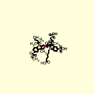 COS(=O)(=O)c1ccc2c(c1)C(C)(CCCS(=O)(=O)O)/C(=C\C=C\C1=[N+](CCCCCC(=O)O)c3ccc(S(=O)(=O)O)cc3C1(C)CCCS(=O)(=O)O)N2C(C)(C)CCO